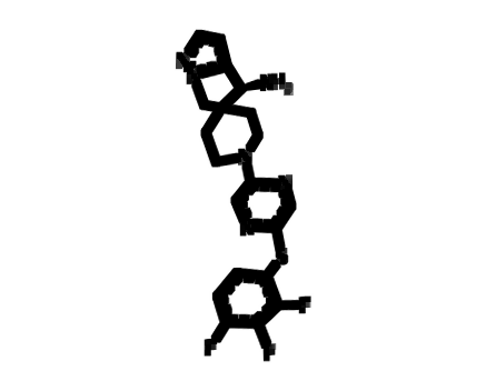 N[C@@H]1c2ccnn2CC12CCN(c1cnc(Sc3ccc(F)c(F)c3F)cn1)CC2